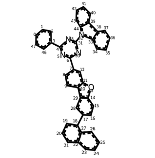 c1ccc(-c2nc(-c3ccc4c(c3)oc3ccc(-c5cccc6ccccc56)cc34)nc(-n3c4ccccc4c4ccccc43)n2)cc1